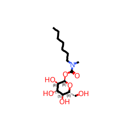 CCCCCCCN(C)C(=O)O[C@H]1O[C@H](CO)[C@@H](O)[C@H](O)[C@H]1O